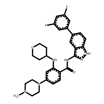 CN1CCN(c2ccc(C(=O)Nc3n[nH]c4ccc(-c5cc(F)cc(F)c5)cc34)c(NC3CCOCC3)c2)CC1